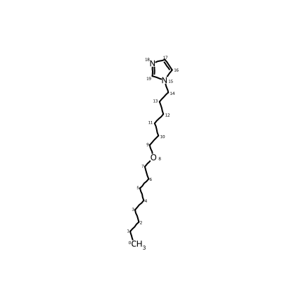 CCCCCCCCOCCCCCCn1ccnc1